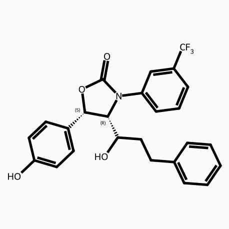 O=C1O[C@@H](c2ccc(O)cc2)[C@@H](C(O)CCc2ccccc2)N1c1cccc(C(F)(F)F)c1